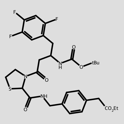 CCOC(=O)Cc1ccc(CNC(=O)C2SCCN2C(=O)CC(Cc2cc(F)c(F)cc2F)NC(=O)OC(C)(C)C)cc1